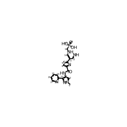 Cn1cc(NC(=O)c2csc(/C(C=N)=C/NCP(=O)(O)O)n2)c(-c2ccccn2)n1